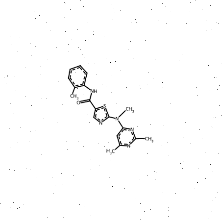 Cc1cc(N(C)c2ncc(C(=O)Nc3ccccc3C)s2)nc(C)n1